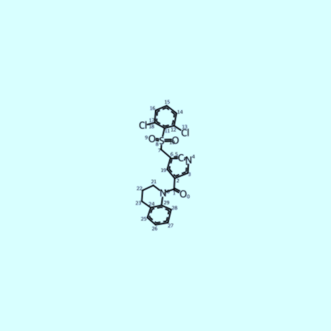 O=C(c1cncc(CS(=O)(=O)c2c(Cl)cccc2Cl)c1)N1CCCc2ccccc21